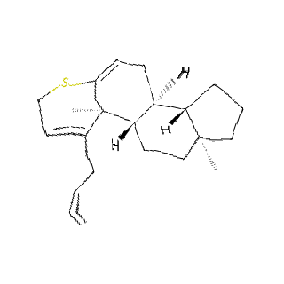 C=CCC1=CCSC2=CC[C@H]3[C@@H]4CCC[C@@]4(C)CC[C@@H]3[C@@]12C